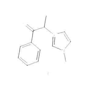 CC(C(=O)c1ccccc1)[n+]1ccn(C)c1.[Br-]